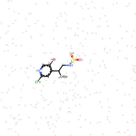 COC(CN[SH](=O)=O)c1cc(Cl)ncc1Br